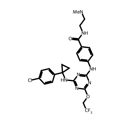 CNCCNC(=O)c1ccc(Nc2nc(NC3(c4ccc(Cl)cc4)CC3)nc(OCC(F)(F)F)n2)cc1